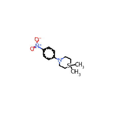 C[Si]1(C)CCN(c2ccc([N+](=O)[O-])cc2)CC1